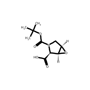 CC(C)(C)OC(=O)N1C[C@H]2O[C@H]2[C@H]1C(=O)O